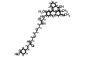 C/N=c1/cc2oc3cc(NCC(=O)NCCOCCOCCNC(=O)/C=C/c4ccc(O)cc4)c(C)cc3c(-c3ccccc3C(=O)O)c-2cc1C